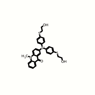 Cn1c2ccccc2c(=O)c2cc([S+](c3ccc(SCCO)cc3)c3ccc(SCCO)cc3)ccc21